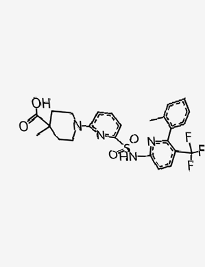 Cc1ccccc1-c1nc(NS(=O)(=O)c2cccc(N3CCC(C)(C(=O)O)CC3)n2)ccc1C(F)(F)F